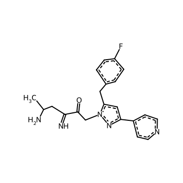 CC(N)CC(=N)C(=O)Cn1nc(-c2ccncc2)cc1Cc1ccc(F)cc1